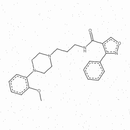 COc1ccccc1N1CCN(CCCNC(=O)c2conc2-c2ccccc2)CC1